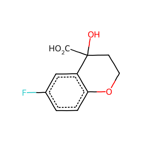 O=C(O)C1(O)CCOc2ccc(F)cc21